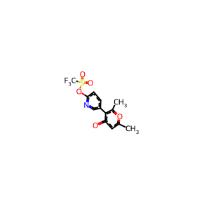 Cc1cc(=O)c(-c2ccc(OS(=O)(=O)C(F)(F)F)nc2)c(C)o1